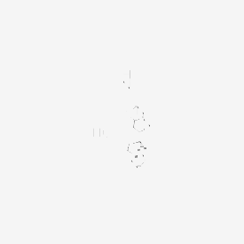 Cc1cn2nc(-c3cnc4nc(C5CCNCC5)sc4c3)cc(C)c2n1.Cl